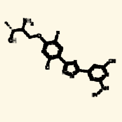 CC(C)Nc1cc(-c2nnc(-c3cc(F)c(OC[C@H](N)[C@@H](C)O)cc3Cl)s2)cc(C#N)n1